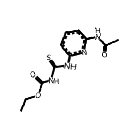 CCOC(=O)NC(=S)Nc1cccc(NC(C)=O)n1